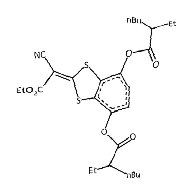 CCCCC(CC)C(=O)Oc1ccc(OC(=O)C(CC)CCCC)c2c1SC(=C(C#N)C(=O)OCC)S2